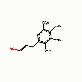 COc1c(CC=CO)cc(C(=O)O)c(OC)c1OC